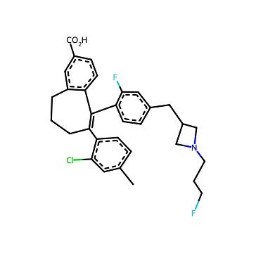 Cc1ccc(C2=C(c3ccc(CC4CN(CCCF)C4)cc3F)c3ccc(C(=O)O)cc3CCC2)c(Cl)c1